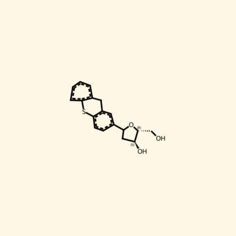 OC[C@H]1OC(c2ccc3c(c2)Cc2ccccc2S3)C[C@@H]1O